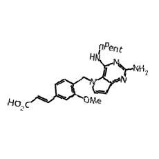 CCCCCNc1nc(N)nc2ccn(Cc3ccc(C=CC(=O)O)cc3OC)c12